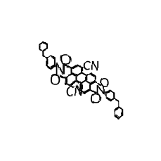 N#Cc1cc2c3c(cc(C#N)c4c5ccc6c7c(ccc(c1c34)c75)C(=O)N(c1ccc(Cc3ccccc3)cc1)C6=O)C(=O)N(c1ccc(Cc3ccccc3)cc1)C2=O